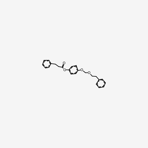 O=C(CCc1ccccc1)Oc1ccc(OCOCCc2ccccc2)cc1